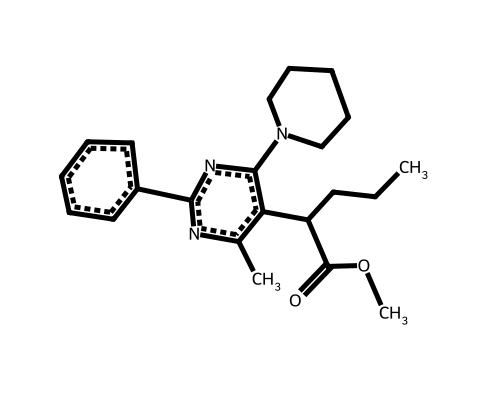 CCCC(C(=O)OC)c1c(C)nc(-c2ccccc2)nc1N1CCCCC1